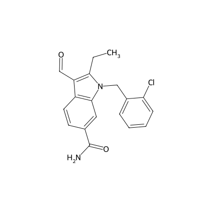 CCc1c(C=O)c2ccc(C(N)=O)cc2n1Cc1ccccc1Cl